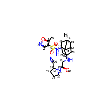 Cc1oncc1S(=O)(=O)NC12CC3C[C@@H](CC(NCC(=O)N4CCC[C@H]4C#N)(C3)C1)C2